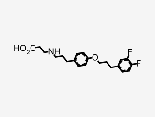 O=C(O)CCNCCCc1ccc(OCCCc2ccc(F)c(F)c2)cc1